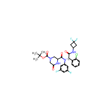 CC(C)(C)OC(=O)N1CC(=O)NC(C(=O)N(c2cc(F)cc(F)c2)[C@H](C(=O)NC2CC(F)(F)C2)c2ccccc2Cl)C1